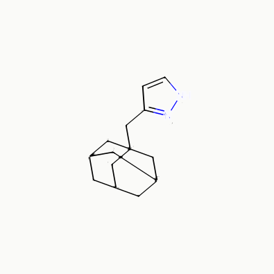 c1cc(CC23CC4CC(CC(C4)C2)C3)n[nH]1